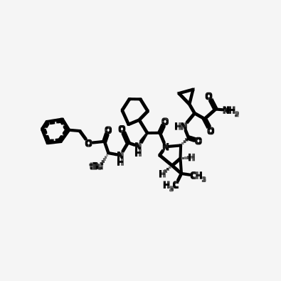 CC(C)(C)[C@@H](NC(=O)N[C@H](C(=O)N1C[C@H]2[C@@H]([C@H]1C(=O)NC(C(=O)C(N)=O)C1CC1)C2(C)C)C1CCCCC1)C(=O)OCc1ccccc1